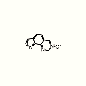 [O-][N+]1=Cc2ccc3c(c2=NC1)=NN=C3